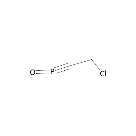 O=P#CCCl